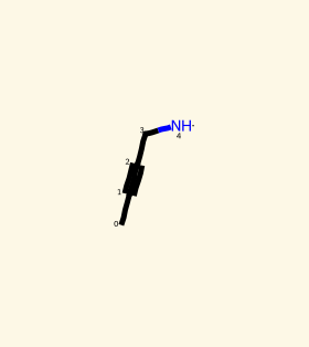 CC#CC[NH]